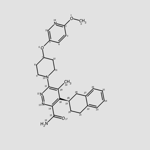 COc1ccc(OC2CCN(c3nnc(C(N)=O)c([C@@H]4CCc5ccccc5C4)c3C)CC2)cn1